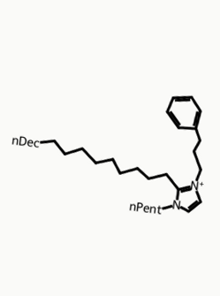 CCCCCCCCCCCCCCCCCCCc1n(CCCCC)cc[n+]1CCCc1ccccc1